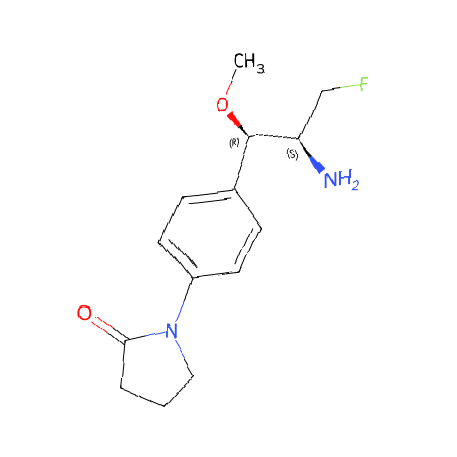 CO[C@H](c1ccc(N2CCCC2=O)cc1)[C@H](N)CF